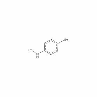 [CH2]CNc1ccc(C(C)C)cc1